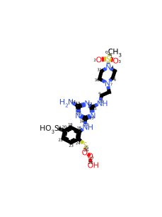 CS(=O)(=O)N1CCN(CCNc2nc(N)nc(Nc3cc(S(=O)(=O)O)ccc3SOOO)n2)CC1